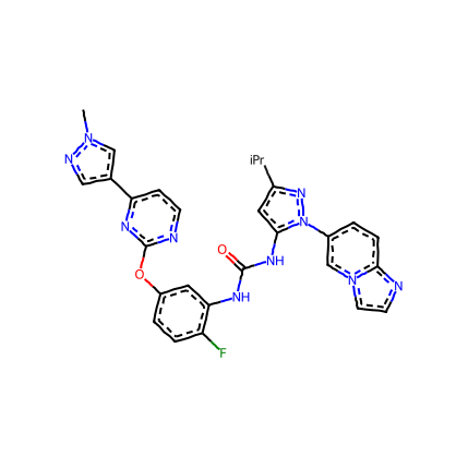 CC(C)c1cc(NC(=O)Nc2cc(Oc3nccc(-c4cnn(C)c4)n3)ccc2F)n(-c2ccc3nccn3c2)n1